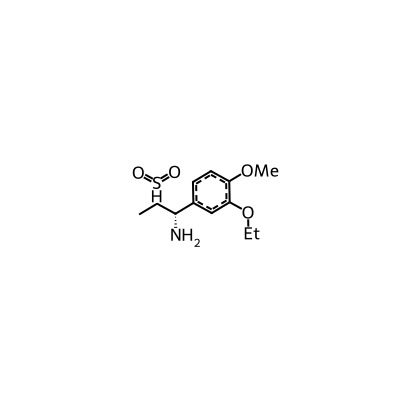 CCOc1cc([C@H](N)C(C)[SH](=O)=O)ccc1OC